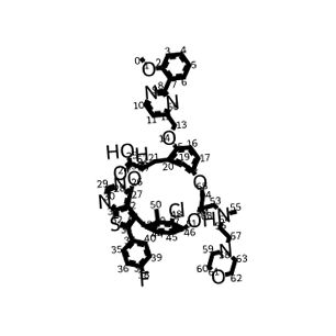 COc1ccccc1-c1nccc(COc2ccc3cc2C[C@H](C(=O)O)Oc2ncnc4sc(-c5ccc(F)cc5)c(c24)-c2ccc(c(Cl)c2C)O[C@H](CN(C)CCN2CCOCC2)CO3)n1